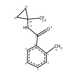 Cc1ccccc1C(=O)NC1(C(F)(F)F)CC1